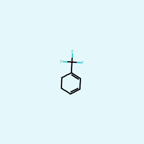 FC(F)(F)C1=CC=CC[CH]1